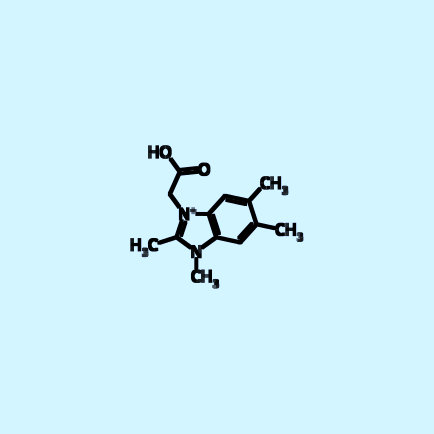 Cc1cc2c(cc1C)[n+](CC(=O)O)c(C)n2C